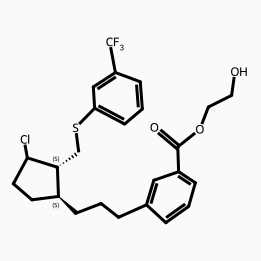 O=C(OCCO)c1cccc(CCC[C@H]2CCC(Cl)[C@@H]2CSc2cccc(C(F)(F)F)c2)c1